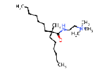 CCCCCCCC(C)(CCCCCC)C(=O)NCC[N+](C)(C)C